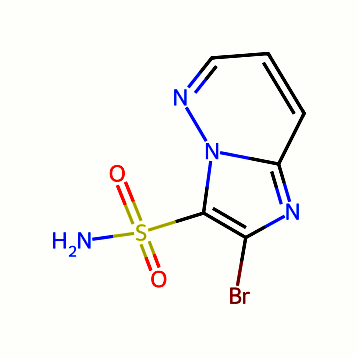 NS(=O)(=O)c1c(Br)nc2cccnn12